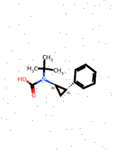 CC(C)(C)N(C(=O)O)[C@@H]1C[C@H]1c1ccccc1